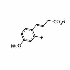 COc1ccc(C=CCC(=O)O)c(F)c1